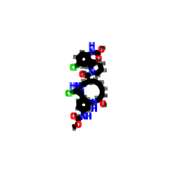 COC(=O)Nc1ccc2c(c1)NC(=O)CCCC[C@H](C(=O)N1CCC[C@@]3(C1)OC(=O)Nc1ccc(Cl)cc13)c1nc-2c(Cl)[nH]1